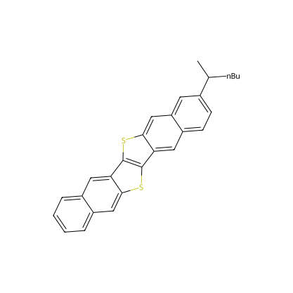 CCCCC(C)c1ccc2cc3c(cc2c1)sc1c2cc4ccccc4cc2sc31